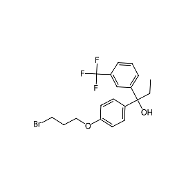 CCC(O)(c1ccc(OCCCBr)cc1)c1cccc(C(F)(F)F)c1